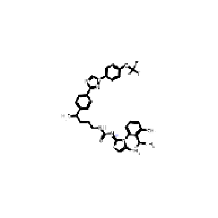 Cc1cccc(-n2c(C)cs/c2=N\C(=O)NCCCC(C)c2ccc(-c3ncn(-c4ccc(OC(F)(F)F)cc4)n3)cc2)c1C(C)C